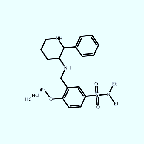 CCN(CC)S(=O)(=O)c1ccc(OC(C)C)c(CNC2CCCNC2c2ccccc2)c1.Cl.Cl